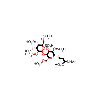 CC(=O)NC(CCS[C@@H]1O[C@H](COS(=O)(=O)O)[C@@H](O[C@H]2O[C@H](COS(=O)(=O)O)[C@@H](OS(=O)(=O)O)[C@H](OS(=O)(=O)O)[C@H]2OS(=O)(=O)O)[C@H](OS(=O)(=O)O)[C@H]1OS(=O)(=O)O)C(=O)O